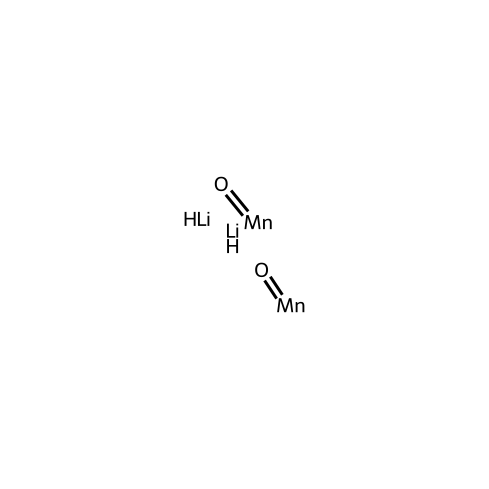 [LiH].[LiH].[O]=[Mn].[O]=[Mn]